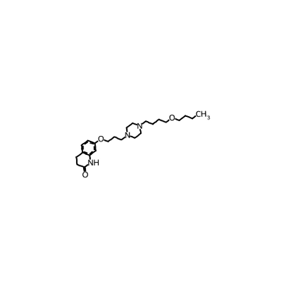 CCCCOCCCCN1CCN(CCCOc2ccc3c(c2)NC(=O)CC3)CC1